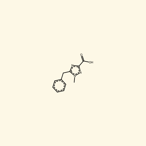 Cn1nc(C(=O)O)nc1Cc1ccccc1